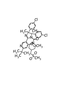 CCOc1cc(C(C)(C)C)ncc1C1=N[C@](C)(c2ccc(Cl)cc2)[C@@](C)(c2ccc(Cl)cc2)N1C(=O)N1CCC(CS(C)(=O)=O)CC1